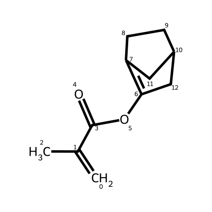 C=C(C)C(=O)OC1=C2CCC(C2)C1